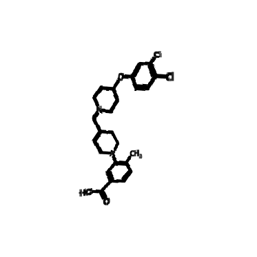 Cc1ccc(C(=O)O)cc1N1CCC(CN2CCC(Oc3ccc(Cl)c(Cl)c3)CC2)CC1